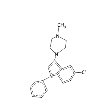 CN1CCN(c2cn(-c3ccccc3)c3ccc(Cl)cc23)CC1